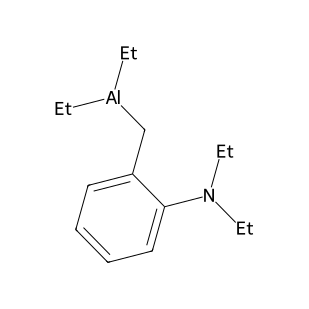 CCN(CC)c1ccccc1[CH2][Al]([CH2]C)[CH2]C